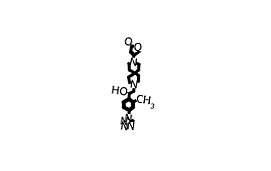 Cc1cc(-n2cnnn2)ccc1[C@H](O)CN1CCC2(CC1)CCN(C1=CC(=O)OC1)CC2